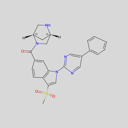 CS(=O)(=O)c1cn(-c2ncc(-c3ccccc3)cn2)c2cc(C(=O)N3C[C@@H]4C[C@H]3CN4)ccc12